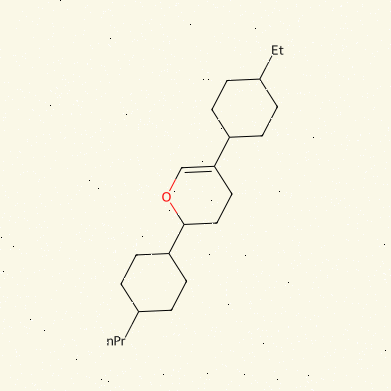 CCCC1CCC(C2CCC(C3CCC(CC)CC3)=CO2)CC1